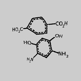 Nc1cc(N)c(O)cc1O.O=C(O)c1ccc(C(=O)O)cc1